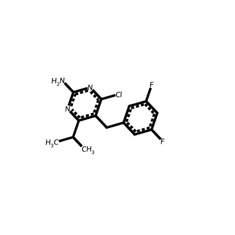 CC(C)c1nc(N)nc(Cl)c1Cc1cc(F)cc(F)c1